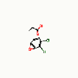 CCC(=O)O.Clc1ccc2c(c1Cl)O2